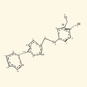 Oc1ccc(OCc2ccc(-c3ccccc3)cc2)cc1Cl